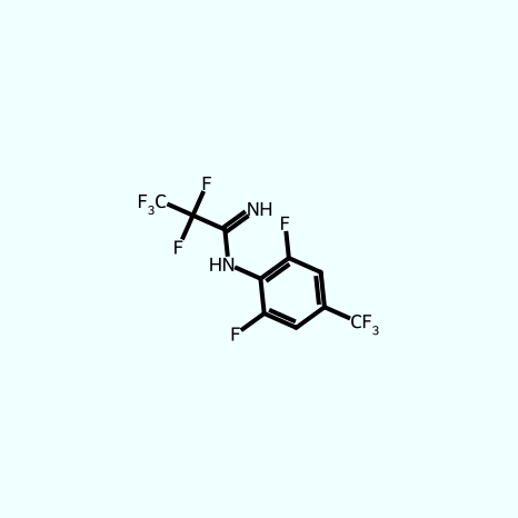 N=C(Nc1c(F)cc(C(F)(F)F)cc1F)C(F)(F)C(F)(F)F